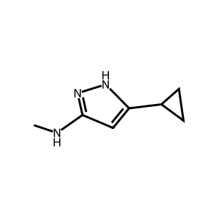 CNc1cc(C2CC2)[nH]n1